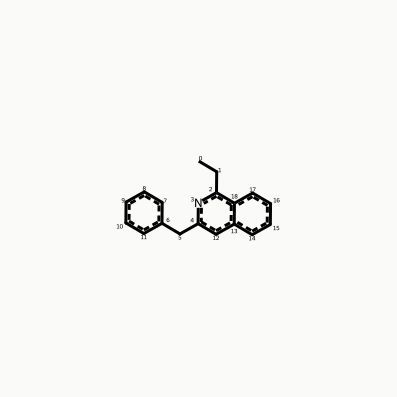 CCc1nc(Cc2ccccc2)cc2ccccc12